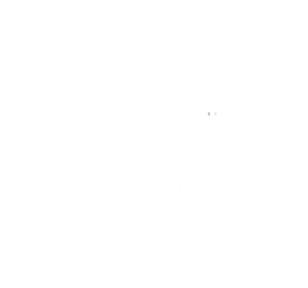 [CH2]C(C=C)c1cc(CCCC)cc(C(F)(F)F)c1